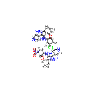 CC1(C)CC(=O)c2c([nH]c(-c3ccncc3)c2Nc2ccc([N+](=O)[O-])cc2)C1.Cc1c(Cl)cccc1Nc1c(-c2ccncc2)[nH]c2c1C(=O)CC(C)(C)C2